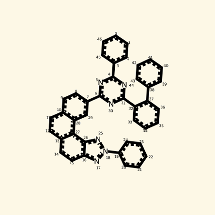 c1ccc(-c2nc(-c3ccc4ccc5ccc6nn(-c7ccccc7)nc6c5c4c3)nc(-c3ccccc3-c3ccccc3)n2)cc1